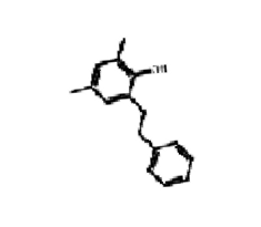 Cc1cc(C)c(O)c(CCc2ccccc2)c1